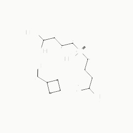 CC(C)CCCP(=O)(O)CCCC(C)C.CCC1CCC1